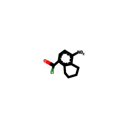 O=C(Cl)c1ccc([N+](=O)[O-])c2c1CCCC2